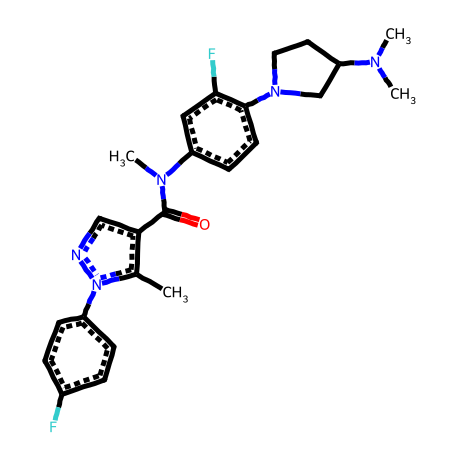 Cc1c(C(=O)N(C)c2ccc(N3CCC(N(C)C)C3)c(F)c2)cnn1-c1ccc(F)cc1